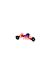 O=C(CCON1CCC[C@@H]1C(O)OCc1ccccc1)OCc1ccccc1